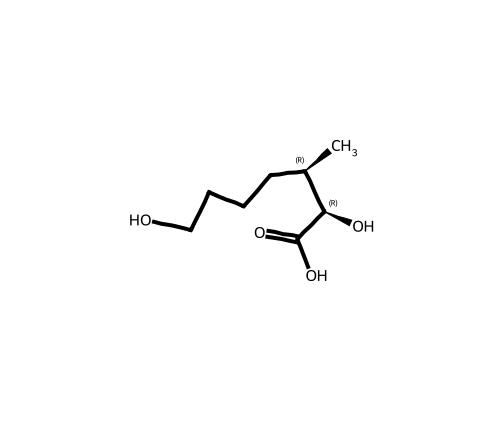 C[C@H](CCCCO)[C@@H](O)C(=O)O